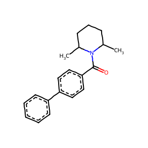 CC1CCCC(C)N1C(=O)c1ccc(-c2ccccc2)cc1